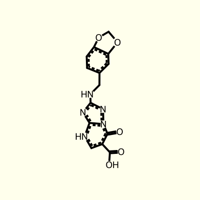 O=C(O)c1c[nH]c2nc(NCc3ccc4c(c3)OCO4)nn2c1=O